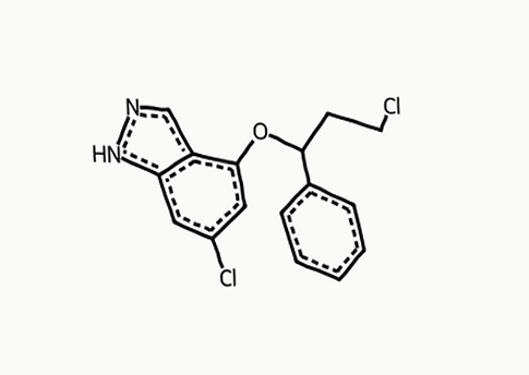 ClCCC(Oc1cc(Cl)cc2[nH]ncc12)c1ccccc1